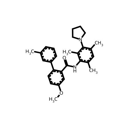 COc1ccc(-c2cccc(C)c2)c(C(=O)Nc2c(C)cc(C)c(N3CCCC3)c2C)c1